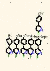 CCCCCCCc1ccc(-c2ccc(F)nc2)cc1.CCCCCCc1ccc(-c2ccc(F)nc2)cc1.CCCCCc1ccc(-c2ccc(F)nc2)cc1.CCCCc1ccc(-c2ccc(F)nc2)cc1.CCCc1ccc(-c2ccc(F)nc2)cc1.CCc1ccc(-c2ccc(F)nc2)cc1